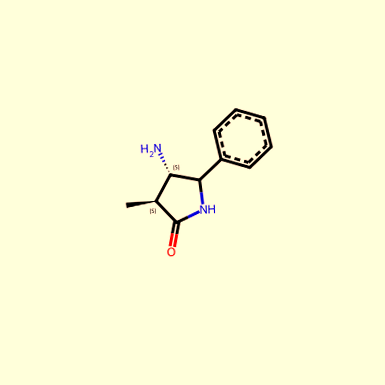 C[C@@H]1C(=O)NC(c2ccccc2)[C@H]1N